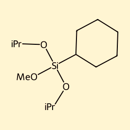 CO[Si](OC(C)C)(OC(C)C)C1CCCCC1